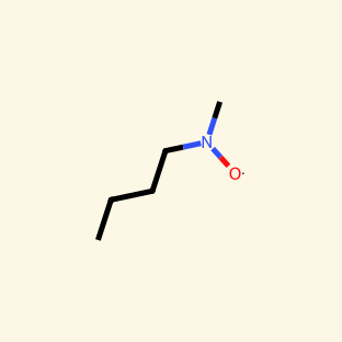 CCCCN(C)[O]